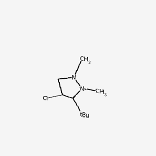 CN1CC(Cl)C(C(C)(C)C)N1C